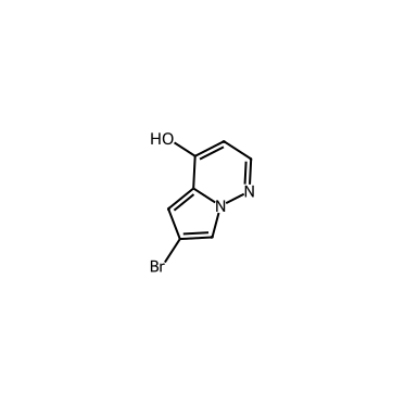 Oc1ccnn2cc(Br)cc12